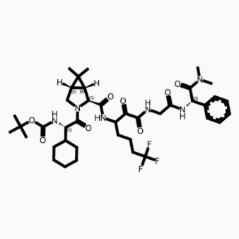 CN(C)C(=O)[C@@H](NC(=O)CNC(=O)C(=O)C(CCCC(F)(F)F)NC(=O)[C@@H]1[C@@H]2[C@H](CN1C(=O)[C@@H](NC(=O)OC(C)(C)C)C1CCCCC1)C2(C)C)c1ccccc1